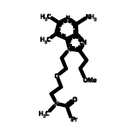 COCCc1nc2c(N)nc(C)c(C)c2n1CCOCCN(C)C(=O)C(C)C